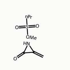 C=C1NC1=O.CCCS(=O)(=O)OC